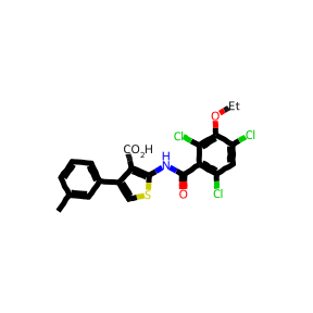 CCOc1c(Cl)cc(Cl)c(C(=O)Nc2scc(-c3cccc(C)c3)c2C(=O)O)c1Cl